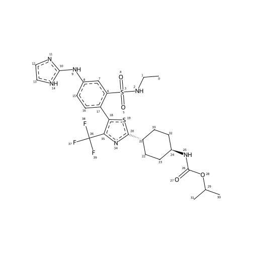 CCNS(=O)(=O)c1cc(Nc2ncc[nH]2)ccc1-c1sc([C@H]2CC[C@H](NC(=O)OC(C)C)CC2)nc1C(F)(F)F